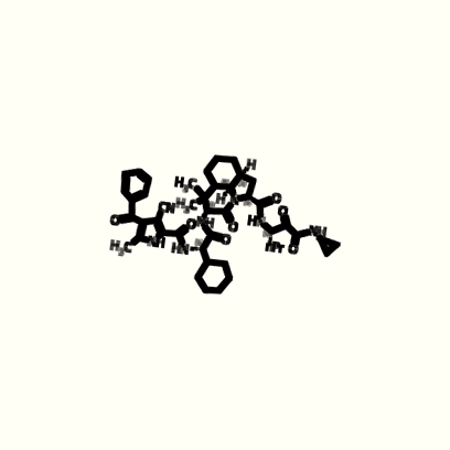 CCC[C@H](NC(=O)[C@@H]1C[C@@H]2CCCC3[C@@H]2N1C(=O)[C@@H](NC(=O)[C@@H](NC(=O)c1[nH]c(C)c(C(=O)c2ccccc2)c1C#N)C1CCCCC1)C3(C)C)C(=O)C(=O)NC1CC1